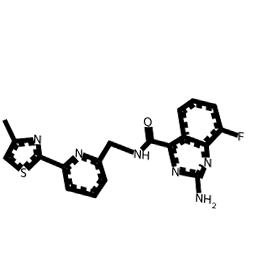 Cc1csc(-c2cccc(CNC(=O)c3nc(N)nc4c(F)cccc34)n2)n1